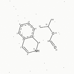 C1=Cc2ccccc2CN1.CC(C)OC=O